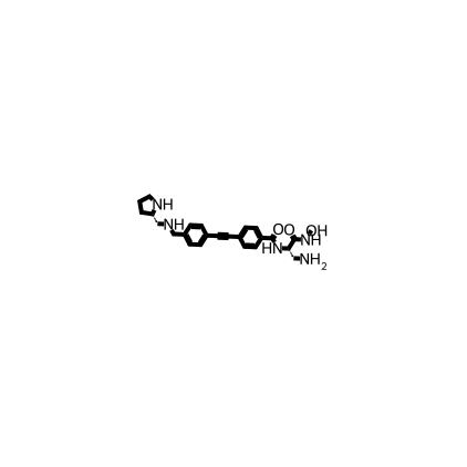 NC[C@H](NC(=O)c1ccc(C#Cc2ccc(CNC[C@@H]3CCCN3)cc2)cc1)C(=O)NO